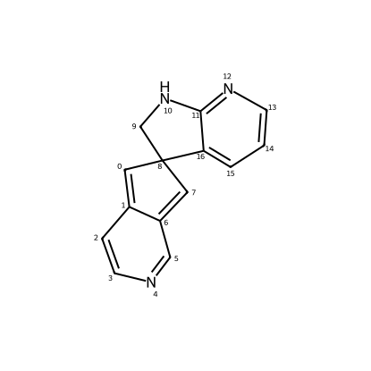 C1=c2ccncc2=CC12CNc1ncccc12